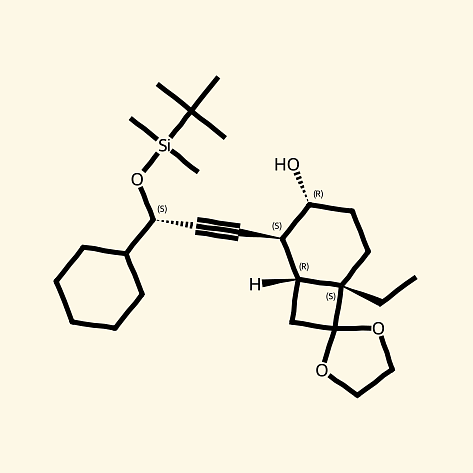 CC[C@]12CC[C@@H](O)[C@H](C#C[C@@H](O[Si](C)(C)C(C)(C)C)C3CCCCC3)[C@H]1CC21OCCO1